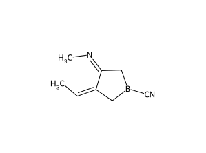 C/C=C1/CB(C#N)C/C1=N/C